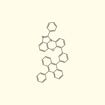 c1ccc(-c2c3ccccc3c(-c3cccc(-c4cccc5c4Oc4cccc6nc(-c7ccccc7)n-5c46)c3)c3ccccc23)cc1